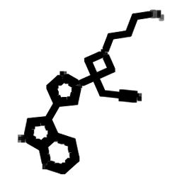 CCCCN1CC(CC#N)(n2cc(-c3c[nH]c4ncccc34)cn2)C1